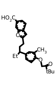 CCC(CCc1cc2ccc(C(=O)O)cc2o1)c1ccc(OCC(=O)C(C)(C)C)c(C)c1